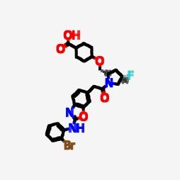 O=C(O)C1CCC(OC[C@@H]2C[C@H](F)CN2C(=O)Cc2ccc3nc(Nc4ccccc4Br)oc3c2)CC1